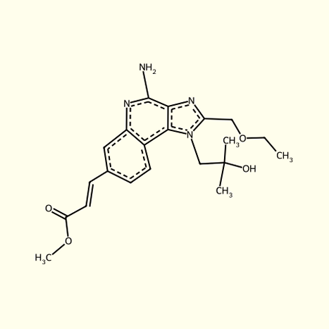 CCOCc1nc2c(N)nc3cc(/C=C/C(=O)OC)ccc3c2n1CC(C)(C)O